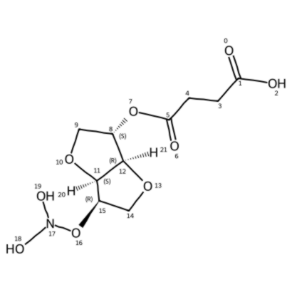 O=C(O)CCC(=O)O[C@H]1CO[C@H]2[C@@H]1OC[C@H]2ON(O)O